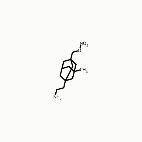 CC12CC3CC(CCN)(C1)CC(CO[N+](=O)[O-])(C3)C2